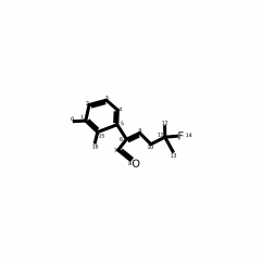 Cc1cccc(/C(C=O)=C/CC(C)(C)F)c1C